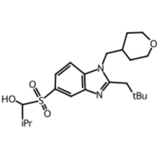 CC(C)C(O)S(=O)(=O)c1ccc2c(c1)nc(CC(C)(C)C)n2CC1CCOCC1